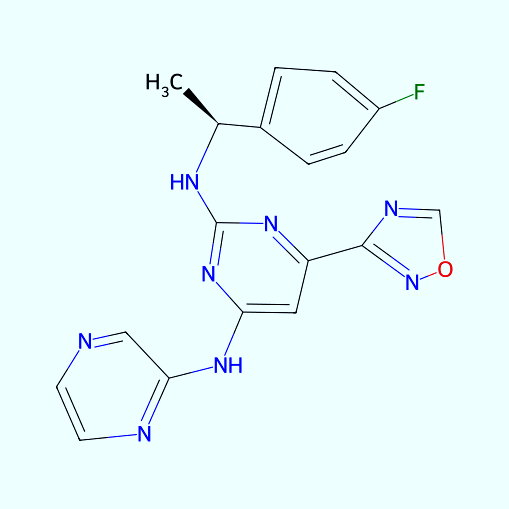 C[C@H](Nc1nc(Nc2cnccn2)cc(-c2ncon2)n1)c1ccc(F)cc1